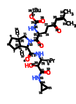 CCC[C@H](NC(=O)C1[C@H]2CCC[C@H]2CN1C(=O)[C@H](CCC(=O)C=C(C)C)NC(=O)OC(C)(C)C)C(O)C(=O)NC1CC1